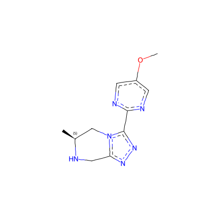 COc1cnc(-c2nnc3n2C[C@H](C)NC3)nc1